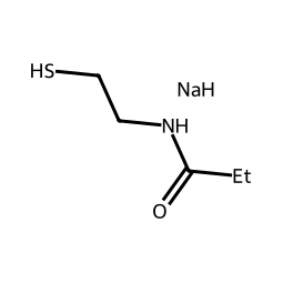 CCC(=O)NCCS.[NaH]